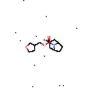 CC(C)C1CC2CCC(C1)N2C(=O)OCC1CCOC1